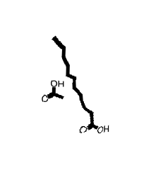 C=CCCCCCCCCC(=O)O.CC(=O)O